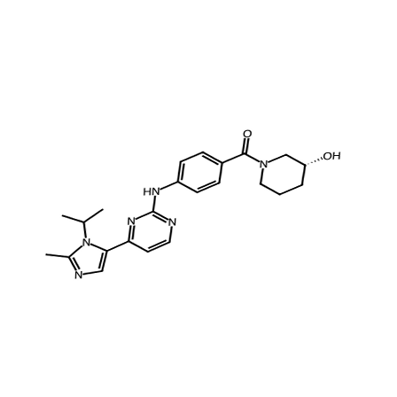 Cc1ncc(-c2ccnc(Nc3ccc(C(=O)N4CCC[C@@H](O)C4)cc3)n2)n1C(C)C